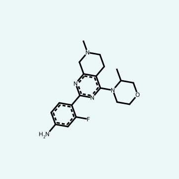 CC1COCCN1c1nc(-c2ccc(N)cc2F)nc2c1CCN(C)C2